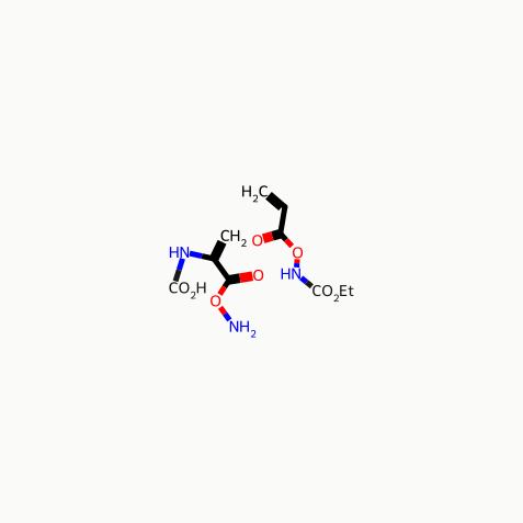 C=C(NC(=O)O)C(=O)ON.C=CC(=O)ONC(=O)OCC